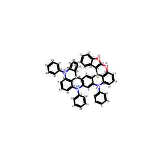 c1ccc(N2c3cc4c(cc3B3c5c(cccc52)Oc2oc5ccccc5c23)B2c3ccccc3N(c3ccccc3)c3cccc(c32)N4c2ccccc2)cc1